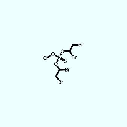 S=P(OCl)(OC(Br)CBr)OC(Br)CBr